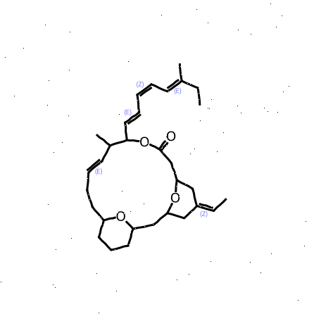 C/C=C1\CC2CC(=O)OC(/C=C/C=C\C=C(/C)CC)C(C)/C=C/CCC3CCCC(CC(C1)O2)O3